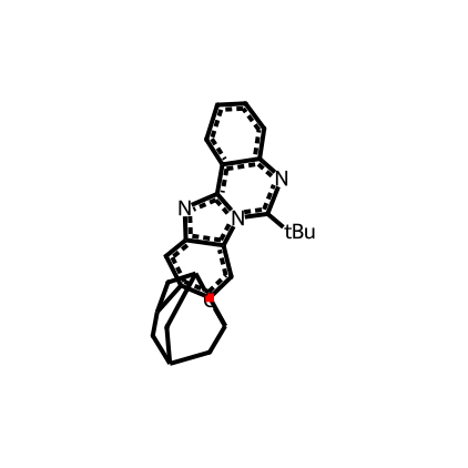 CC(C)(C)c1nc2ccccc2c2nc3cc4c(cc3n12)C1CC2CC(CC4C2)C1